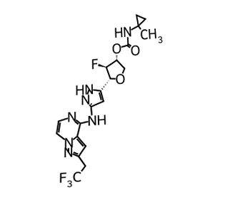 CC1(NC(=O)O[C@@H]2CO[C@H](c3cc(Nc4nccn5nc(CC(F)(F)F)cc45)n[nH]3)[C@H]2F)CC1